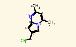 Cc1cc(C)n2cc(CCl)cc2n1